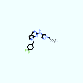 CCOC(=O)Cn1cc(Nc2ncc3ccn(CC4CCC(F)(F)CC4)c3n2)cn1